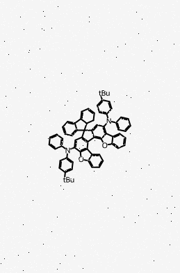 CC(C)(C)c1ccc(N(c2ccccc2)c2cc3c(c4c2oc2ccccc24)-c2c(cc(N(c4ccccc4)c4ccc(C(C)(C)C)cc4)c4c2oc2ccccc24)C32c3ccccc3C3=CC=CCC32)cc1